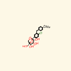 COc1ccc(Cc2cc([C@]34OC[C@](CO)(O3)[C@@H](O)[C@H](O)[C@H]4O)ccc2Cl)cc1